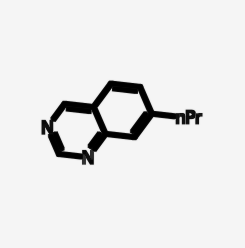 CCCc1ccc2cncnc2c1